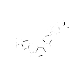 Cc1cc(Nc2nccc(C(F)(F)F)n2)cc(-c2ccc([C@]3(O)CC[C@H](C(=O)O)CC3)nc2)c1